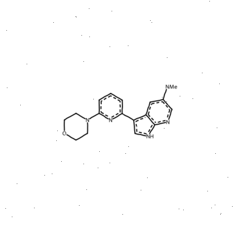 CNc1cnc2[nH]cc(-c3cccc(N4CCOCC4)n3)c2c1